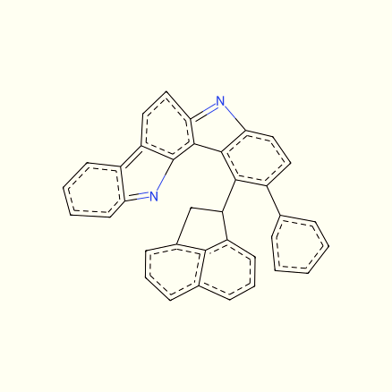 c1ccc(-c2ccc3c(c2C2Cc4cccc5cccc2c45)-c2c4c(ccc2=N3)=c2ccccc2=N4)cc1